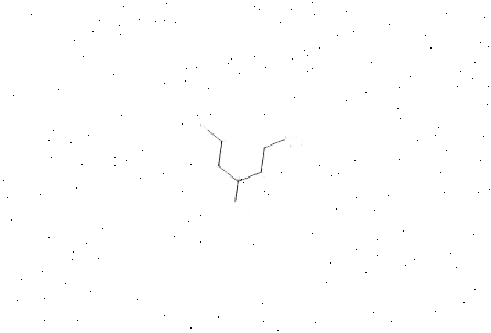 NCCC(CCN)S(=O)(=O)O